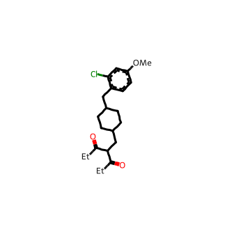 CCC(=O)C(CC1CCC(Cc2ccc(OC)cc2Cl)CC1)C(=O)CC